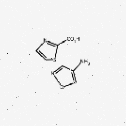 Nc1cnoc1.O=C(O)c1nccs1